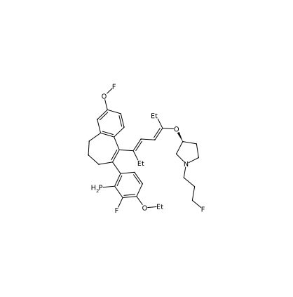 CCOc1ccc(C2=C(/C(=C/C=C(\CC)O[C@H]3CCN(CCCF)C3)CC)c3ccc(OF)cc3CCC2)c(P)c1F